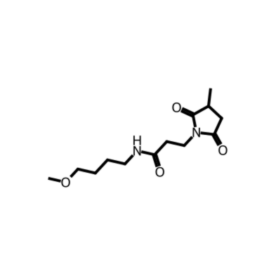 COCCCCNC(=O)CCN1C(=O)CC(C)C1=O